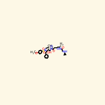 COc1ccc(S(=O)(=O)N(CC(C)C)C(O)(CCNC(=O)CCCC(C)NC(=O)CNC2CC2)Cc2ccccc2)cc1